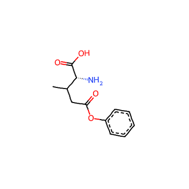 CC(CC(=O)Oc1ccccc1)[C@@H](N)C(=O)O